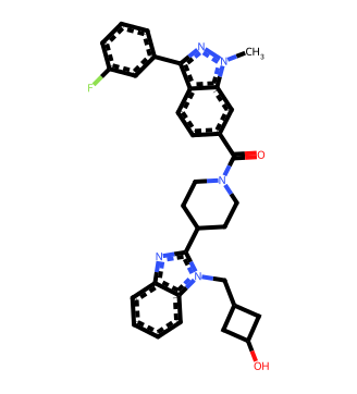 Cn1nc(-c2cccc(F)c2)c2ccc(C(=O)N3CCC(c4nc5ccccc5n4CC4CC(O)C4)CC3)cc21